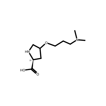 CN(C)CCCOC1CN[C@H](C(=O)O)C1